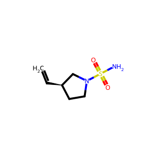 C=C[C@@H]1CCN(S(N)(=O)=O)C1